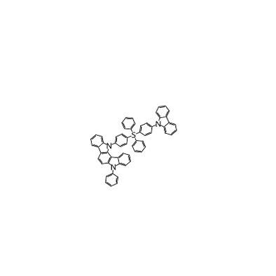 c1ccc(-n2c3ccccc3c3c2ccc2c4ccccc4n(-c4ccc(S(c5ccccc5)(c5ccccc5)c5ccc(-n6c7ccccc7c7ccccc76)cc5)cc4)c23)cc1